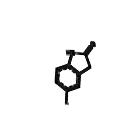 [CH2]c1ccc2c(c1)CC(=O)N2